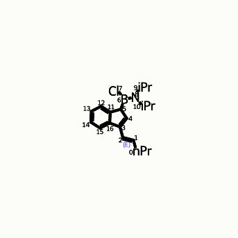 CCC/C=C/C1=CC(B(Cl)N(C(C)C)C(C)C)c2ccccc21